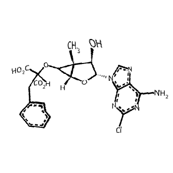 C[C@]12C(OC(Cc3ccccc3)(C(=O)O)C(=O)O)[C@H]1O[C@@H](n1cnc3c(N)nc(Cl)nc31)[C@@H]2O